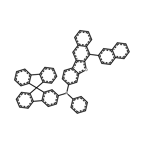 c1ccc(N(c2ccc3c(c2)C2(c4ccccc4-c4ccccc42)c2ccccc2-3)c2ccc3c(c2)oc2c(-c4ccc5ccccc5c4)c4ccccc4cc23)cc1